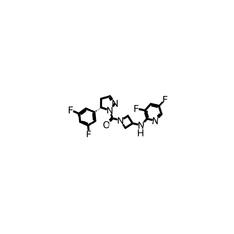 O=C(N1CC(Nc2ncc(F)cc2F)C1)N1N=CC[C@H]1c1cc(F)cc(F)c1